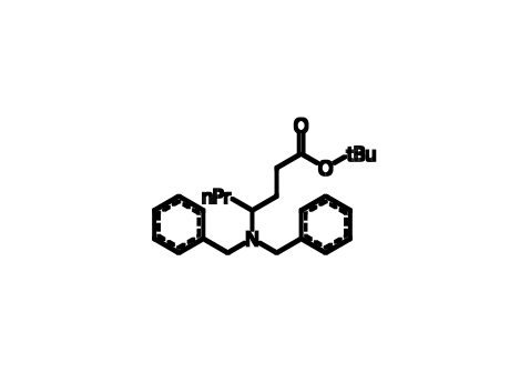 CCCC(CCC(=O)OC(C)(C)C)N(Cc1ccccc1)Cc1ccccc1